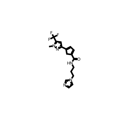 Cn1nc(C2=CC=C(C(=O)NCCCn3ccnc3)C2)cc1C(F)(F)F